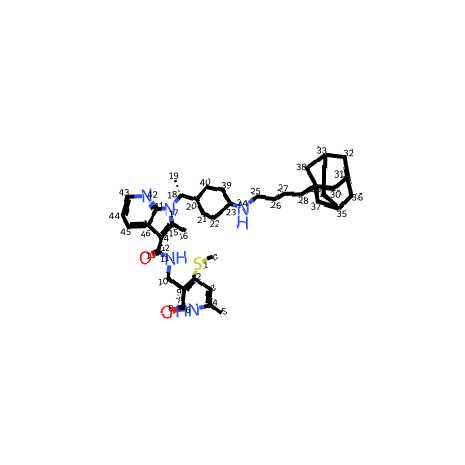 CSc1cc(C)[nH]c(=O)c1CNC(=O)c1c(C)n([C@H](C)C2CCC(NCCCCC34CC5CC(CC(C5)C3)C4)CC2)c2ncccc12